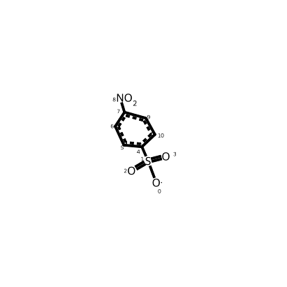 [O]S(=O)(=O)c1ccc([N+](=O)[O-])cc1